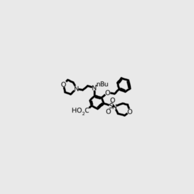 CCCCN(CCN1CCOCC1)c1cc(C(=O)O)cc(S(=O)(=O)N2CCOCC2)c1OCc1ccccc1